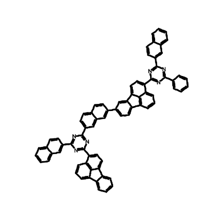 c1ccc(-c2nc(-c3ccc4ccccc4c3)nc(-c3ccc4c5c(cccc35)-c3ccc(-c5ccc6ccc(-c7nc(-c8ccc9ccccc9c8)nc(-c8ccc9c%10c(cccc8%10)-c8ccccc8-9)n7)cc6c5)cc3-4)n2)cc1